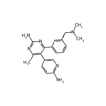 Cc1nc(N)nc(-c2cccc(CN(C)C)c2)c1-c1ccc(N)nc1